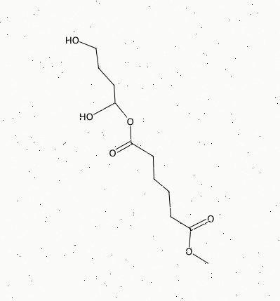 COC(=O)CCCCC(=O)OC(O)CCCO